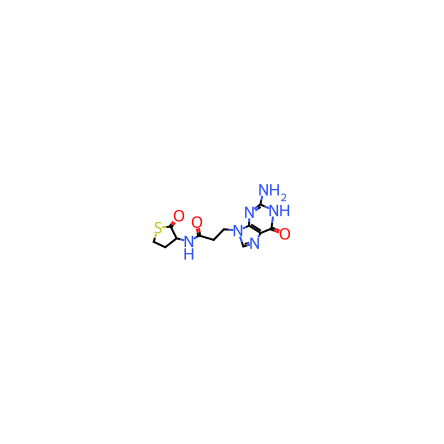 Nc1nc2c(ncn2CCC(=O)NC2CCSC2=O)c(=O)[nH]1